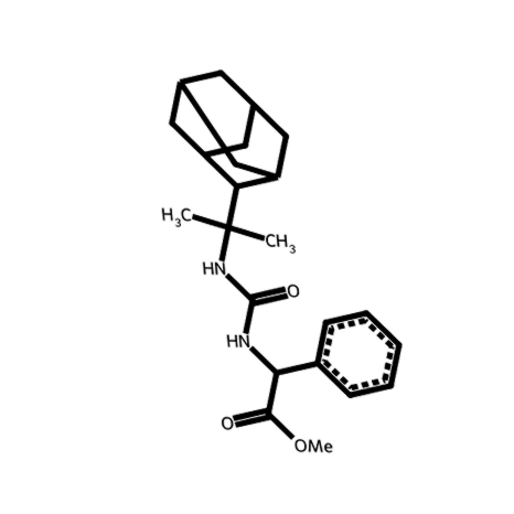 COC(=O)C(NC(=O)NC(C)(C)C1C2CC3CC(C2)CC1C3)c1ccccc1